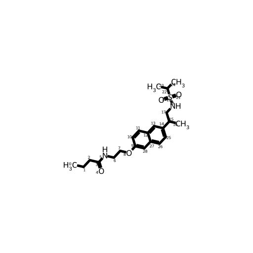 CCCC(=O)NCCOc1ccc2cc(C(C)CNS(=O)(=O)C(C)C)ccc2c1